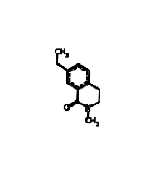 CCc1ccc2c(c1)C(=O)N(C)CC2